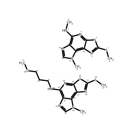 CNc1nc2sc(SC)nc2c2c1ncn2C.COCCCNc1nc2sc(SC)nc2c2c1ncn2C